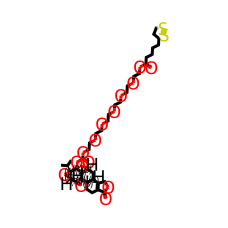 CC(C)[C@]12O[C@H]1[C@@H]1O[C@]13[C@]1(O[C@H]1C[C@H]1C4=C(CC[C@@]13C)C(=O)OC4)[C@@H]2OC(=O)OCCOCCOCCOCCOCCOCCOC(=O)CCCCC1CCSS1